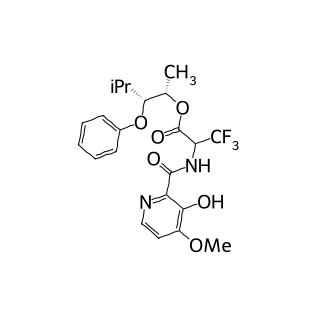 COc1ccnc(C(=O)NC(C(=O)O[C@@H](C)[C@H](Oc2ccccc2)C(C)C)C(F)(F)F)c1O